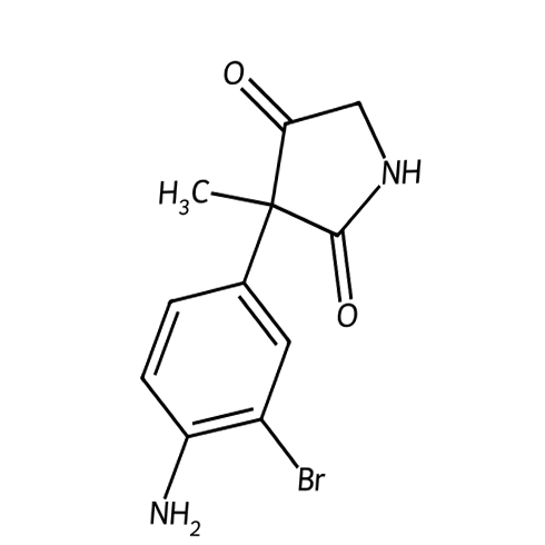 CC1(c2ccc(N)c(Br)c2)C(=O)CNC1=O